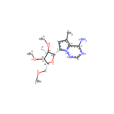 Bc1cc([C@@H]2O[C@H](COCCCC)[C@@H](OCCCC)[C@@]2(C)OCCCC)n2ncnc(N)c12